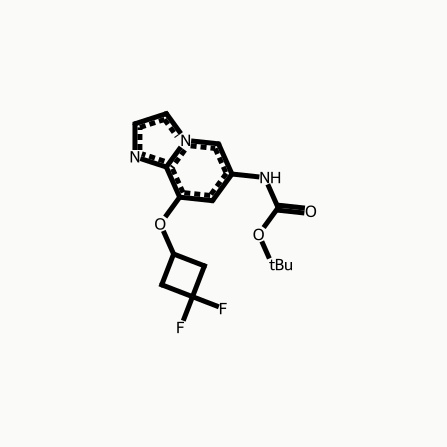 CC(C)(C)OC(=O)Nc1cc(OC2CC(F)(F)C2)c2nccn2c1